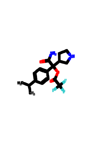 CC(C)c1ccc(C(OC(=O)C(F)(F)F)(C(N)=O)C2CCNC2)cc1